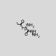 CC(=O)C[C@H](N)C(=O)NN